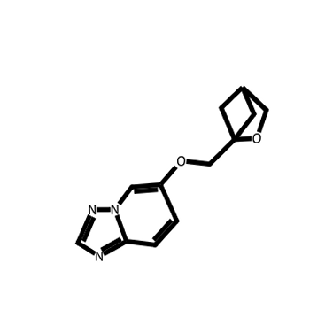 c1nc2ccc(OCC34CC(CO3)C4)cn2n1